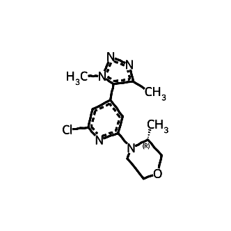 Cc1nnn(C)c1-c1cc(Cl)nc(N2CCOC[C@H]2C)c1